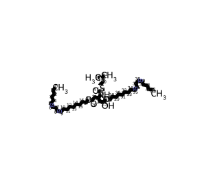 CCCCC/C=C\C/C=C\CCCCCCCCOC(=O)CC(CC(O)OCCCCCCCC/C=C\C/C=C\CCCCC)NC(=O)SCCN(C)C